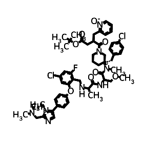 COCC(NC(=O)C(C)NCc1c(F)cc(Cl)cc1Oc1ccc(-c2cnc(CN(C)C)n2C)cc1)C(=O)N(C)[C@@]1(Cc2ccc(Cl)cc2)CCCN(C(=O)C(CC(=O)OC(C)(C)C)Cc2cccc[n+]2[O-])C1